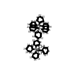 C[Si](C)(c1ccccc1)[Sn]([c]1ccccc1)([c]1ccccc1)[c]1ccccc1.c1cc[c]([Sn]([c]2ccccc2)([c]2ccccc2)[Sn]([c]2ccccc2)([c]2ccccc2)[c]2ccccc2)cc1